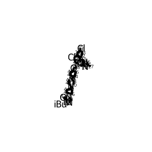 CCC(C)n1ncn(-c2ccc(N3CCN(c4ccc(OC[C@@H]5CO[C@@](Cn6cc(C)nc6C)(c6ccc(Cl)cc6Cl)O5)cc4)CC3)cc2)c1=O